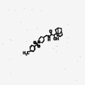 Cc1ccc(S(=O)(=O)N2CCC(CNC(=O)C(O)C34CC5CC(CC(C5)C3)C4)CC2)cc1